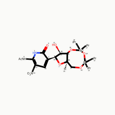 CC(=O)Nc1[nH]c(=O)c([C@@H]2O[C@@H]3CO[Si](C(C)C)(C(C)C)O[Si](C(C)C)(C(C)C)OC3[C@@H]2O)cc1[N+](=O)[O-]